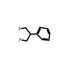 FCC(CF)c1ccccc1